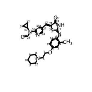 Cc1cc(OCCN2CCCCC2)ccc1/N=C1/NC(=O)/C(=C/c2cnc(N(C=O)C3CC3)s2)S1